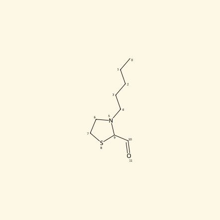 CCCCCN1CCSC1C=O